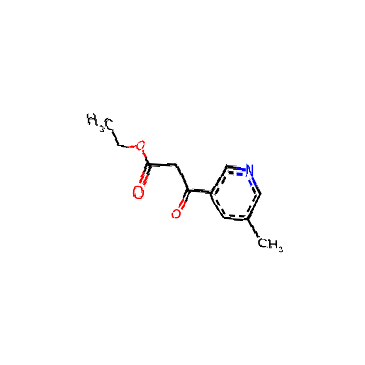 CCOC(=O)CC(=O)c1cncc(C)c1